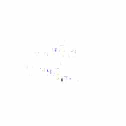 CC(C)(C)C(Cc1cc(S(=O)(=O)c2cccnc2)n(-c2ccccc2Cl)n1)NC(=O)O.CNCc1cc(S(=O)(=O)c2cccnc2)n(-c2ccccc2Cl)n1.O=C(O)C=CC(=O)O